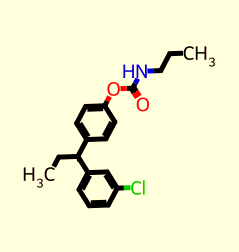 CCCNC(=O)Oc1ccc([C](CC)c2cccc(Cl)c2)cc1